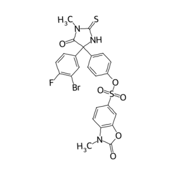 CN1C(=O)C(c2ccc(OS(=O)(=O)c3ccc4c(c3)oc(=O)n4C)cc2)(c2ccc(F)c(Br)c2)NC1=S